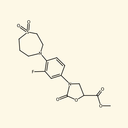 COC(=O)C1CN(c2ccc(N3CCCS(=O)(=O)CC3)c(F)c2)C(=O)O1